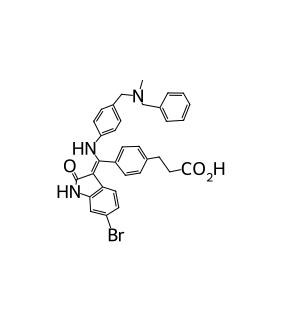 CN(Cc1ccccc1)Cc1ccc(N/C(=C2\C(=O)Nc3cc(Br)ccc32)c2ccc(CCC(=O)O)cc2)cc1